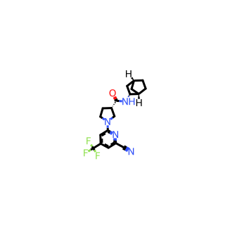 N#Cc1cc(C(F)(F)F)cc(N2CC[C@H](C(=O)N[C@@H]3C[C@@H]4CC[C@H]3C4)C2)n1